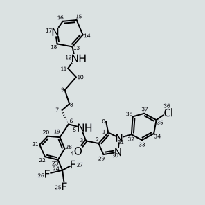 Cc1c(C(=O)N[C@@H](CCCCCNc2cccnc2)c2cccc(C(F)(F)F)c2)cnn1-c1ccc(Cl)cc1